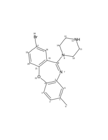 Cc1ccc2c(c1)N=C(N1CCNCC1)c1cc(Br)ccc1O2